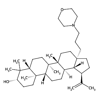 C=C(C)[C@@H]1CC[C@]2(CCCN3CCOCC3)CC[C@]3(C)[C@H](CC[C@@H]4[C@@]5(C)CC[C@H](O)C(C)(C)[C@@H]5CC[C@]43C)[C@@H]12